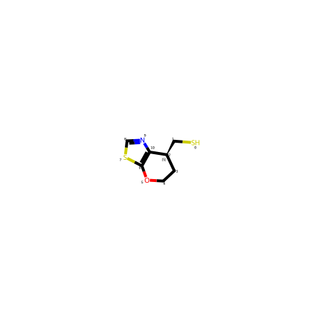 SC[C@H]1CCOc2scnc21